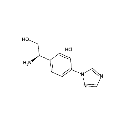 Cl.N[C@@H](CO)c1ccc(-n2cncn2)cc1